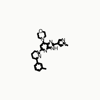 Cc1cccc(C2=NN(c3cc(N4CCOCC4)c4nc(-c5cnn(C)c5)[nH]c4n3)CCC2)c1